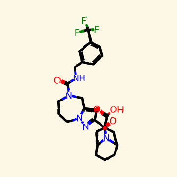 O=C(O)C1CC2CCCC(C1)N2C(=O)c1cc2n(n1)CCCN(C(=O)NCc1cccc(C(F)(F)F)c1)C2